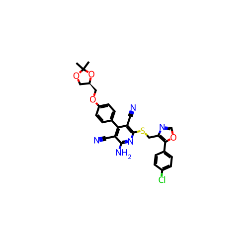 CC1(C)OC[C@H](COc2ccc(-c3c(C#N)c(N)nc(SCc4ncoc4-c4ccc(Cl)cc4)c3C#N)cc2)O1